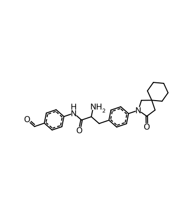 NC(Cc1ccc(N2CC3(CCCCC3)CC2=O)cc1)C(=O)Nc1ccc(C=O)cc1